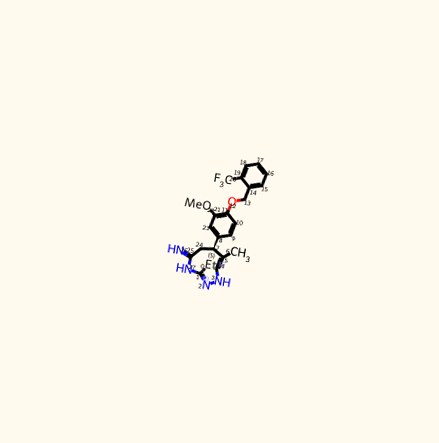 CC/C1=N\N/C=C(\C)[C@H](c2ccc(OCc3ccccc3C(F)(F)F)c(OC)c2)CC(=N)N1